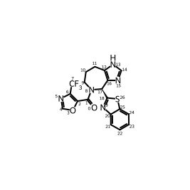 O=C(c1ocnc1C(F)(F)F)N1CCCc2[nH]cnc2[C@H]1c1nc2ccccc2s1